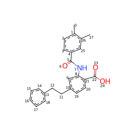 Cc1ccc(C(=O)Nc2cc(CCc3ccccc3)ccc2C(=O)O)cc1C